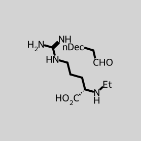 CCCCCCCCCCCC=O.CCN[C@@H](CCCNC(=N)N)C(=O)O